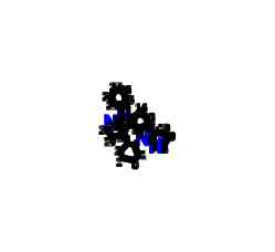 C1=CCCC(n2c3ncccc3c3ccc4c(c5cccnc5n4-c4ccccc4)c32)=C1